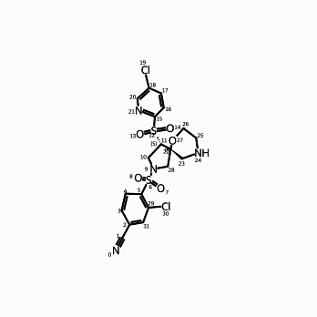 N#Cc1ccc(S(=O)(=O)N2C[C@H](S(=O)(=O)c3ccc(Cl)cn3)[C@@]3(CNCCO3)C2)c(Cl)c1